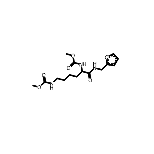 COC(=O)NCCCCC(NC(=O)OC)C(=O)NCc1ccco1